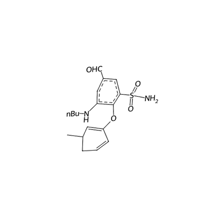 CCCCNc1cc(C=O)cc(S(N)(=O)=O)c1OC1=CC(C)CC=C1